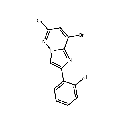 Clc1cc(Br)c2nc(-c3ccccc3Cl)cn2n1